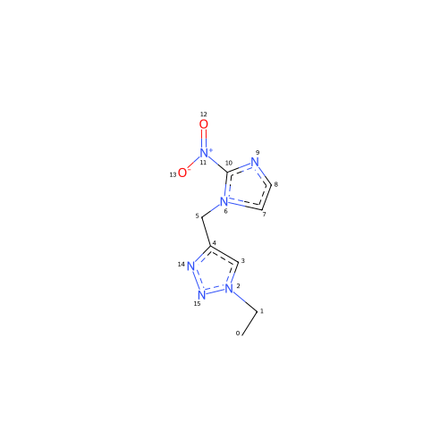 CCn1cc(Cn2ccnc2[N+](=O)[O-])nn1